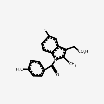 Cc1ccc(C(=O)n2c(C)c(CC(=O)O)c3cc(F)ccc32)cc1